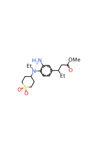 CCC(CC(=O)OC)c1ccc(N(CC)C2CCS(=O)(=O)CC2)c(N)c1